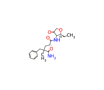 CC[C@@H]1OCC(=O)C1NC(=O)[CH]CC(C)(Cc1ccccc1)C(N)=O